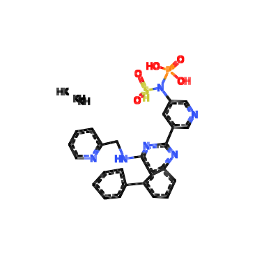 O=[SH](=O)N(c1cncc(-c2nc(NCc3ccccn3)c3c(-c4ccccc4)cccc3n2)c1)P(=O)(O)O.[KH].[KH].[KH]